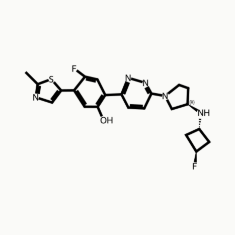 Cc1ncc(-c2cc(O)c(-c3ccc(N4CC[C@@H](N[C@H]5C[C@H](F)C5)C4)nn3)cc2F)s1